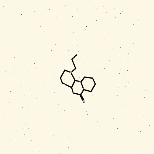 CCCN1CCCC2CC(=O)C3CCCCC3C21